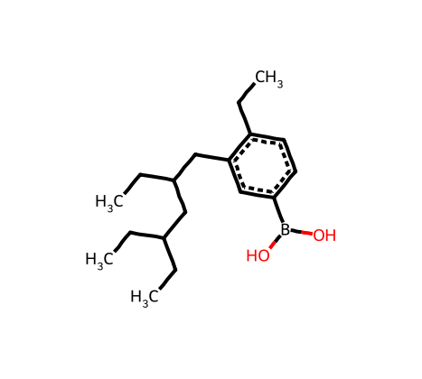 CCc1ccc(B(O)O)cc1CC(CC)CC(CC)CC